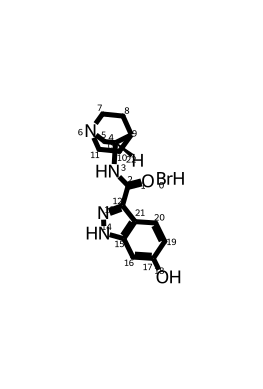 Br.O=C(N[C@@H]1CN2CCC1CC2)c1n[nH]c2cc(O)ccc12